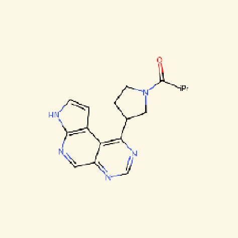 CC(C)C(=O)N1CCC(c2ncnc3cnc4[nH]ccc4c23)C1